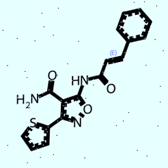 NC(=O)c1c(-c2cccs2)noc1NC(=O)/C=C/c1ccccc1